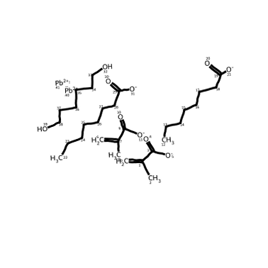 C=C(C)C(=O)[O-].C=C(C)C(=O)[O-].CCCCCCCC(=O)[O-].CCCCCCCC(=O)[O-].OCCCCCCO.[Pb+2].[Pb+2]